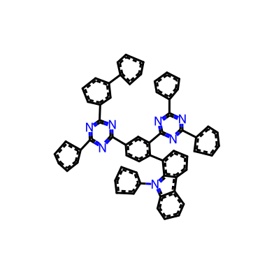 c1ccc(-c2cccc(-c3nc(-c4ccccc4)nc(-c4ccc(-c5cccc6c7ccccc7n(-c7ccccc7)c56)c(-c5nc(-c6ccccc6)nc(-c6ccccc6)n5)c4)n3)c2)cc1